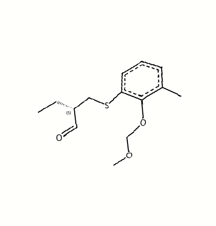 CC[C@@H](C=O)CSc1cccc(C)c1OCOC